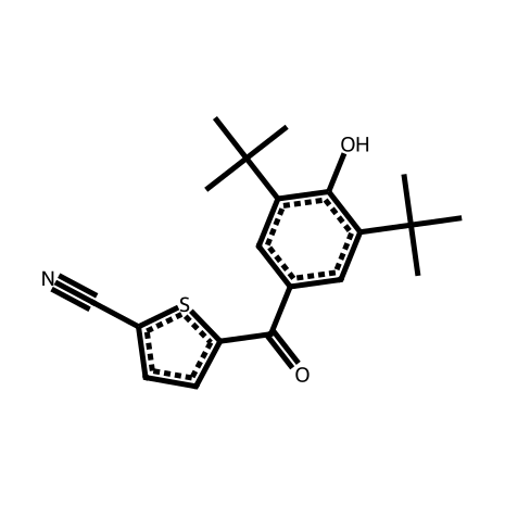 CC(C)(C)c1cc(C(=O)c2ccc(C#N)s2)cc(C(C)(C)C)c1O